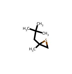 CC(C)(C)CC1(C)CS1